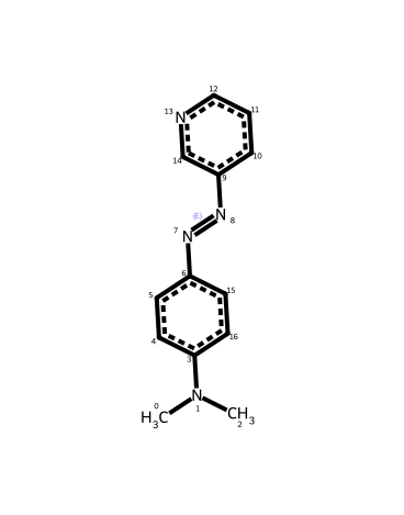 CN(C)c1ccc(/N=N/c2cccnc2)cc1